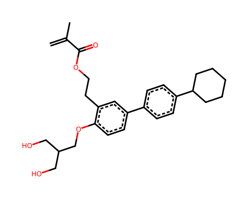 C=C(C)C(=O)OCCc1cc(-c2ccc(C3CCCCC3)cc2)ccc1OCC(CO)CO